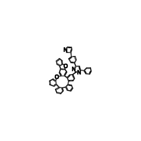 c1ccc(-c2cc(-c3ccc(-c4cccnc4)cc3)nc(-c3ccc4c(c3)-c3cc5oc6ccccc6c5cc3Oc3ccccc3-c3ccccc3-c3ccccc3-4)n2)cc1